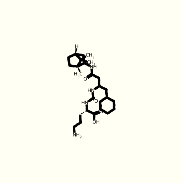 CC1(C)[C@@H]2CC[C@@]1(C)C(NC(=O)CC(CC1CCCCC1)NC(=O)N[C@@H](CCCN)C(=O)O)C2